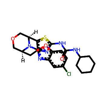 O=C(Nc1nc2c(s1)[C@@H]1COC[C@H](C2)N1c1nc2cc(Cl)ccc2o1)NC1CCCCC1